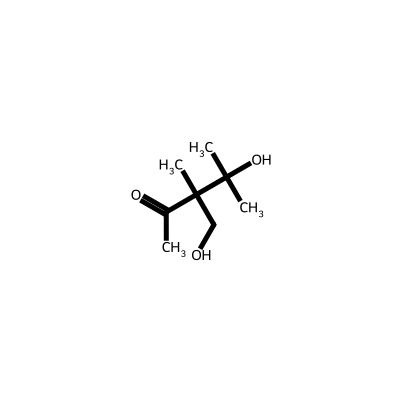 CC(=O)C(C)(CO)C(C)(C)O